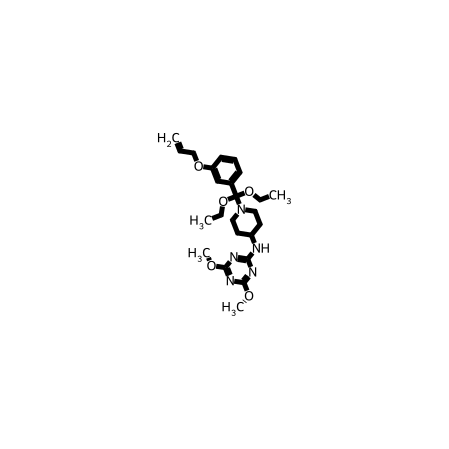 C=CCOc1cccc(C(OCC)(OCC)N2CCC(Nc3nc(OC)nc(OC)n3)CC2)c1